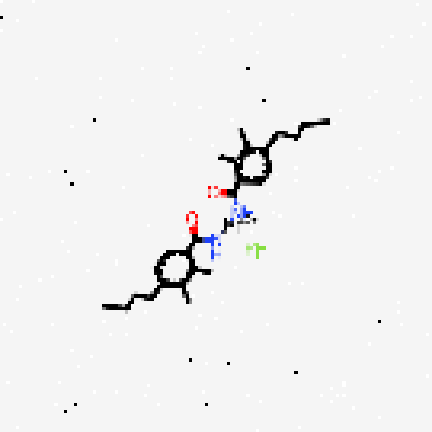 CCCCc1ccc(C(=O)[NH][Hf+2][NH]C(=O)c2ccc(CCCC)c(C)c2C)c(C)c1C.[F-].[F-]